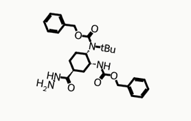 CC(C)(C)N(C(=O)OCc1ccccc1)[C@H]1CC[C@H](C(=O)NN)C[C@H]1NC(=O)OCc1ccccc1